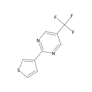 FC(F)(F)c1[c]nc(-c2ccsc2)nc1